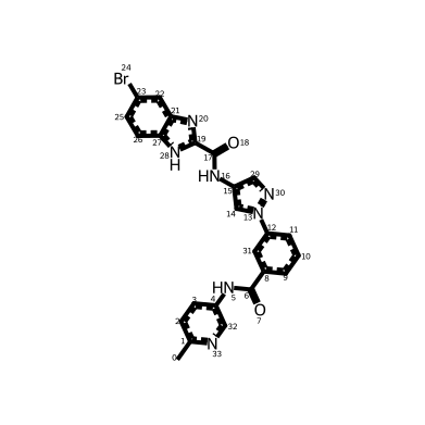 Cc1ccc(NC(=O)c2cccc(-n3cc(NC(=O)c4nc5cc(Br)ccc5[nH]4)cn3)c2)cn1